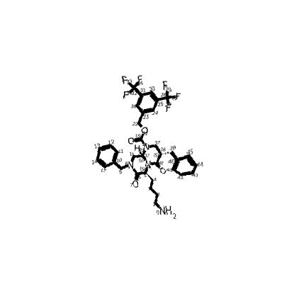 NCCCC[C@H]1C(=O)N(Cc2ccccc2)C[C@@H]2N(C(=O)OCc3cc(C(F)(F)F)cc(C(F)(F)F)c3)C[C@H](Cc3ccccc3)C(=O)N21